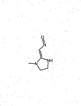 CN1CCN/C1=C\N=O